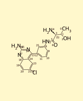 CC(O)[C@H](N)C(=O)Nc1cccc(-c2nc(N)nc3ccc(Cl)cc23)c1